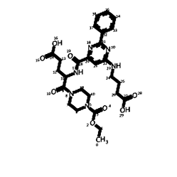 CCOC(=O)N1CCN(C(=O)C(CCC(=O)O)NC(=O)c2cc(NCCCC(=O)O)nc(-c3ccccc3)n2)CC1